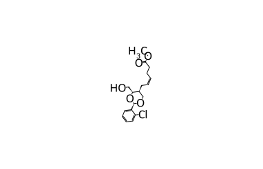 COC(=O)CC/C=C\C[C@H]1CO[C@@H](c2ccccc2Cl)O[C@H]1CO